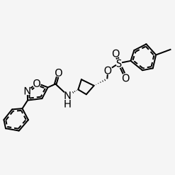 Cc1ccc(S(=O)(=O)OC[C@H]2C[C@@H](NC(=O)c3cc(-c4ccccc4)no3)C2)cc1